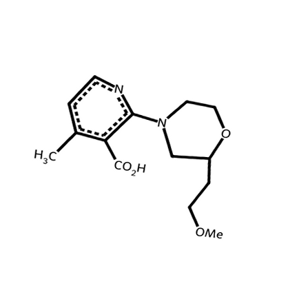 COCCC1CN(c2nccc(C)c2C(=O)O)CCO1